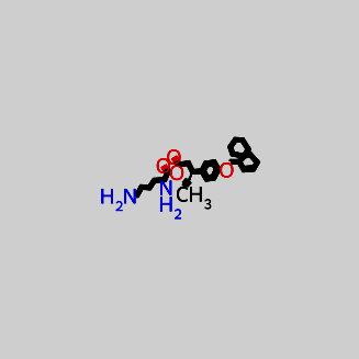 CC#C[C@@H](CC(=O)OC(=O)[C@@H](N)CCCCN)c1ccc(OCC2C=CCCC23CCCCC3)cc1